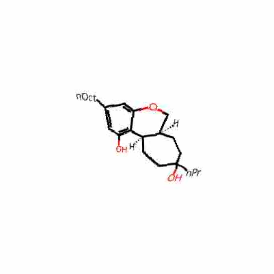 CCCCCCCCc1cc(O)c2c(c1)OC[C@H]1CCC(O)(CCC)CC[C@@H]21